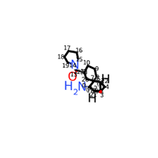 N[C@H]1[C@@H]2CC[C@@H](C2)[C@]12CCC[C@H](C(=O)N1CCCCC1)C2